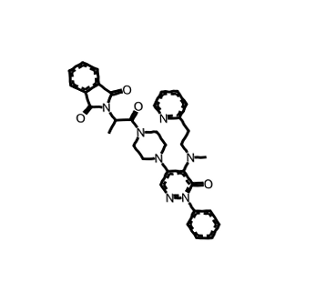 CC(C(=O)N1CCN(c2cnn(-c3ccccc3)c(=O)c2N(C)CCc2ccccn2)CC1)N1C(=O)c2ccccc2C1=O